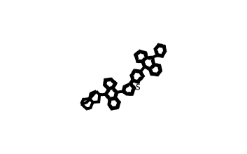 c1ccc(-c2c3ccccc3c(-c3ccc4c(c3)sc3ccc(-c5c6ccccc6c(C6CC7CCC8CC7CC6C8)c6ccccc56)cc34)c3ccccc23)cc1